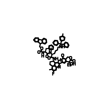 CC[C@@]1(O)C(=O)OCc2c1cc1n(c2=O)Cc2c-1nc1cc(F)c(C)c3c1c2[C@@H](NC(=O)[C@H](CCCCNC(c1ccccc1)(c1ccccc1)c1ccc(C)cc1)NC(=O)[C@H](Cc1ccccc1)NC(=O)OCC1c2ccccc2-c2ccccc21)CC3